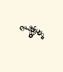 CCn1c(=O)n(CCCOC2CCCCO2)c(=O)c2c1nc(-c1ccc(OC3CCC3)nc1C)n2Cc1ccccc1